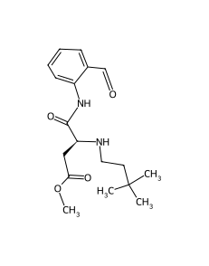 COC(=O)C[C@H](NCCC(C)(C)C)C(=O)Nc1ccccc1C=O